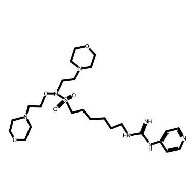 N=C(NCCCCCCS(=O)(=O)N(CCN1CCOCC1)OCCN1CCOCC1)Nc1ccncc1